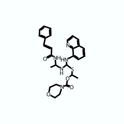 CC(NC(=O)/C=C/c1ccccc1)NC(Nc1cccc2cccnc12)SC(C)OC(=O)N1CCOCC1